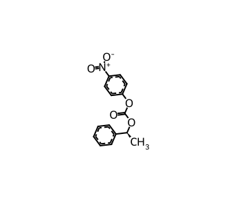 C[C@H](OC(=O)Oc1ccc([N+](=O)[O-])cc1)c1ccccc1